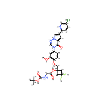 COc1cc(-n2cnn3cc(-c4ccc(Cl)cn4)cc3c2=O)ccc1OCC1(OC(=O)CNC(=O)OC(C)(C)C)CC(F)(F)C1